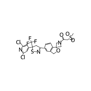 CS(=O)(=O)CC(=O)N1CC2(C1)OCc1cc(C3=NSC(c4cc(Cl)nc(Cl)c4)(C(F)(F)F)C3)ccc12